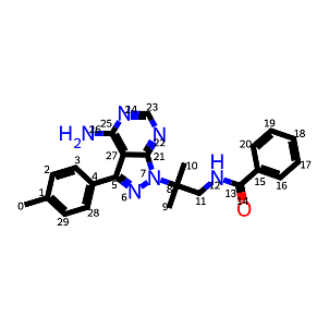 Cc1ccc(-c2nn(C(C)(C)CNC(=O)c3ccccc3)c3ncnc(N)c23)cc1